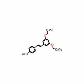 COCOc1cc(C=Cc2ccc(OC(C)=O)cc2)cc(OCOC)c1